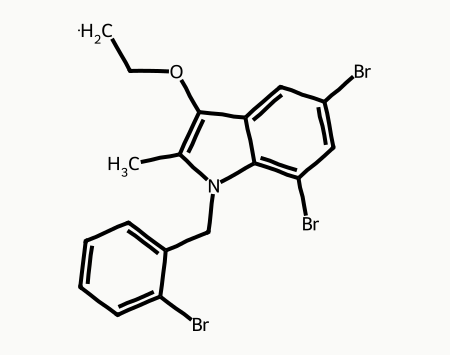 [CH2]COc1c(C)n(Cc2ccccc2Br)c2c(Br)cc(Br)cc12